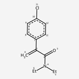 C=C(C(=O)N(CC)CC)c1ccc(Cl)cc1